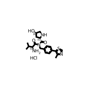 Cc1ncsc1-c1ccc(CN(C(=O)[C@@H]2C[C@@H](O)CN2)C(=O)[C@@H](N)C(C)C)cc1.Cl